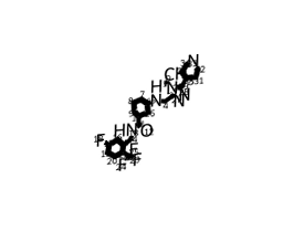 CCn1c(CNc2cccc(C(=O)NCc3cc(F)ccc3C(F)(F)F)c2)nnc1-c1ccncc1